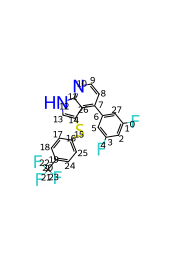 Fc1cc(F)cc(-c2ccnc3[nH]cc(Sc4ccc(C(F)(F)F)cc4)c23)c1